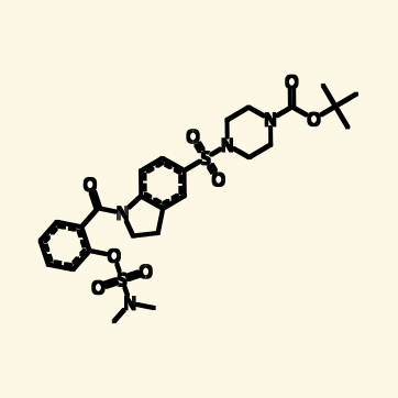 CN(C)S(=O)(=O)Oc1ccccc1C(=O)N1CCc2cc(S(=O)(=O)N3CCN(C(=O)OC(C)(C)C)CC3)ccc21